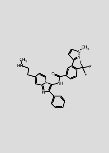 CNCCc1ccn2c(NC(=O)c3ccc(C(F)(F)F)c(-c4ccn(C)n4)c3)c(-c3ccccc3)nc2c1